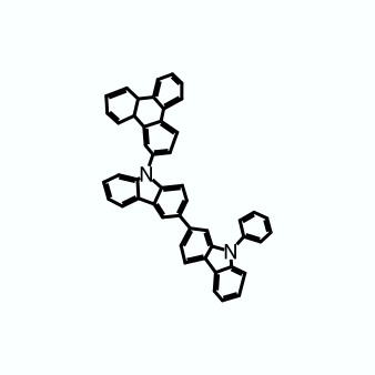 C1=CC2c3ccccc3-c3ccc(-n4c5ccccc5c5cc(-c6ccc7c8ccccc8n(-c8ccccc8)c7c6)ccc54)cc3C2C=C1